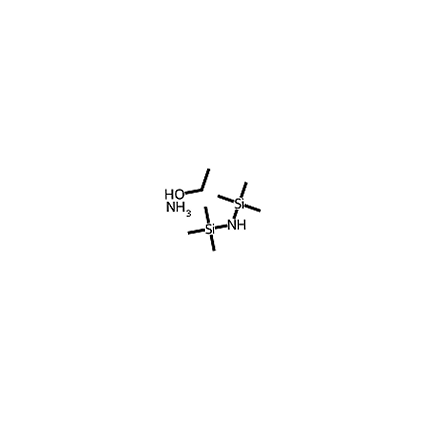 CCO.C[Si](C)(C)N[Si](C)(C)C.N